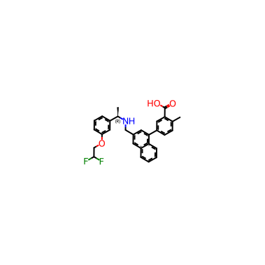 Cc1ccc(-c2cc(CN[C@H](C)c3cccc(OCC(F)F)c3)cc3ccccc23)cc1C(=O)O